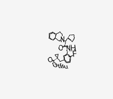 CC(C)(C)OC(=O)C1(Cc2ccc(F)c(NC(=O)C(C3CCCC3)N3CCc4ccccc4C3)c2)CC1